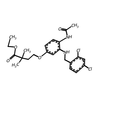 CCOC(=O)C(C)(C)CCOc1ccc(NC(C)=O)c(NCc2ccc(Cl)cc2Cl)c1